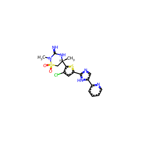 CN1C(=N)N[C@](C)(c2sc(-c3ncc(-c4ccccn4)[nH]3)cc2Cl)CS1(=O)=O